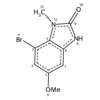 COc1cc(Br)c2c(c1)[nH]c(=O)n2C